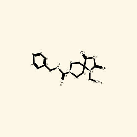 CCN1C(=O)OC(=O)C12CCN(C(=O)OCc1ccccc1)CC2